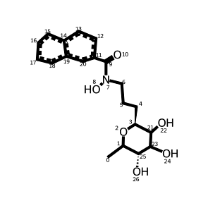 CC1O[C@@H](CCCN(O)C(=O)c2ccc3ccccc3c2)C(O)C(O)[C@@H]1O